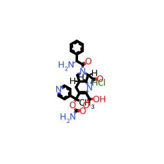 CC(OC(N)=O)(C1=C(C(=O)O)N2C(=O)[C@@H]3[C@H]2[C@H](C1)CN3C(=O)[C@H](N)c1ccccc1)c1ccncc1.Cl